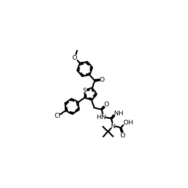 COc1ccc(C(=O)c2cc(CC(=O)NC(=N)N(C(=O)O)C(C)(C)C)c(-c3ccc(Cl)cc3)s2)cc1